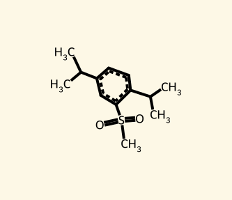 CC(C)c1ccc(C(C)C)c(S(C)(=O)=O)c1